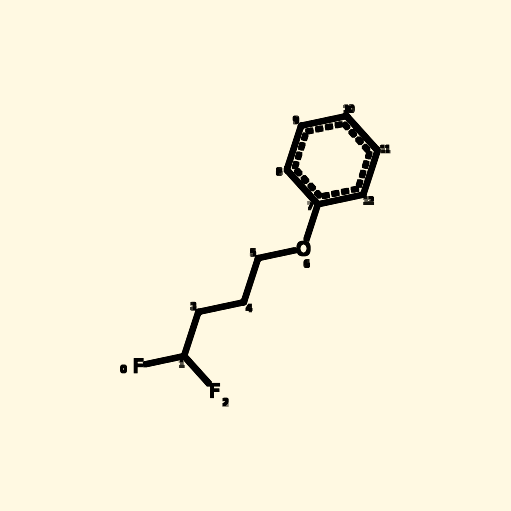 FC(F)CCCOc1ccccc1